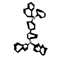 c1ccc(N(c2ccc(-c3ccc(N(c4ccc5ccccc5c4)c4ccc5ccccc5c4)cc3)cc2)c2cccc3ccccc23)cc1